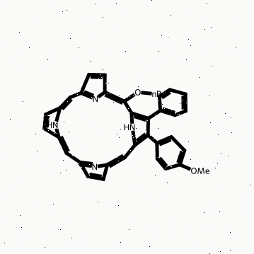 CCCOc1c2nc(cc3ccc(cc4nc(cc5[nH]c1c(-c1ccccc1)c5-c1ccc(OC)cc1)C=C4)[nH]3)C=C2